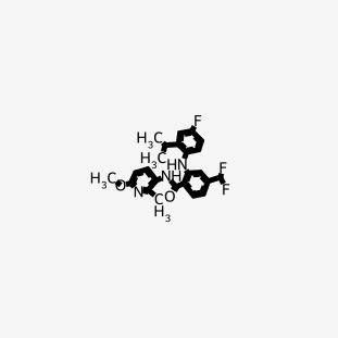 COc1ccc(NC(=O)c2ccc(C(F)F)cc2Nc2ccc(F)cc2C(C)C)c(C)n1